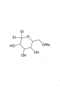 CCC1(CC)OC(COC)C(O)C(O)C1O